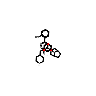 Nc1nnc(-c2ccccc2O)cc1N1CC2CCC(C1)N2c1cccc(C=C2CCNCC2)c1